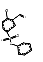 O=Cc1cc(S(=O)(=O)Oc2ccccc2)ccc1Cl